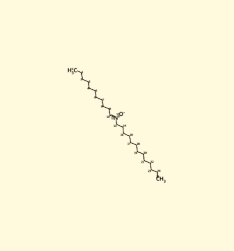 CCCCCCCCCCC=[N+]([O-])CCCCCCCCCCCCC